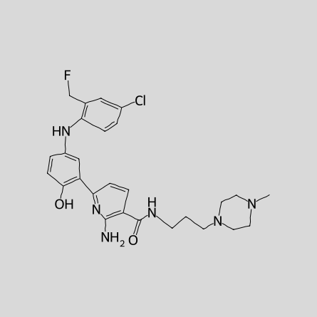 CN1CCN(CCCNC(=O)c2ccc(-c3cc(Nc4ccc(Cl)cc4CF)ccc3O)nc2N)CC1